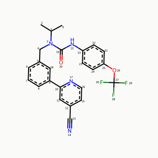 CC(C)N(Cc1cccc(-c2cc(C#N)ccn2)c1)C(=O)Nc1ccc(OC(F)(F)F)cc1